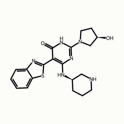 O=c1[nH]c(N2CC[C@@H](O)C2)nc(N[C@@H]2CCCNC2)c1-c1nc2ccccc2s1